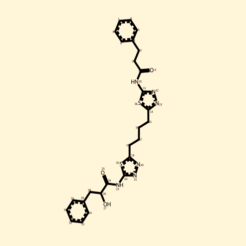 O=C(CCc1ccccc1)Nc1nnc(CCCCc2nnc(NC(=O)C(O)Cc3ccccc3)s2)s1